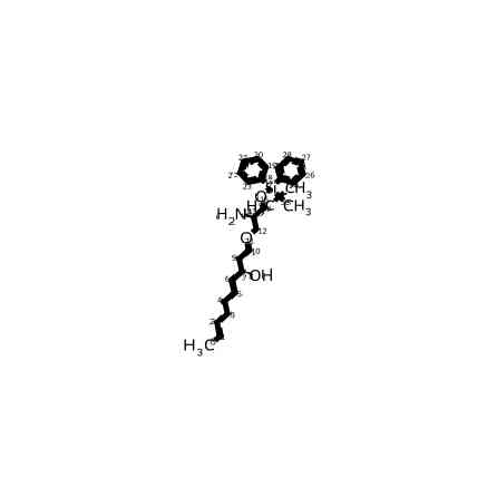 CCCCCCC[C@@H](O)CCOC[C@@H](N)CO[Si](c1ccccc1)(c1ccccc1)C(C)(C)C